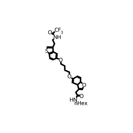 CCCCCCNC(=O)CC1=COC2C=CC(OCCCCOc3ccc4scc(CCNC(=O)C(F)(F)F)c4c3)=CC12